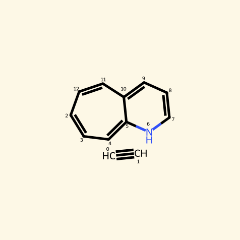 C#C.C1=CC=C2NC=CC=C2C=C1